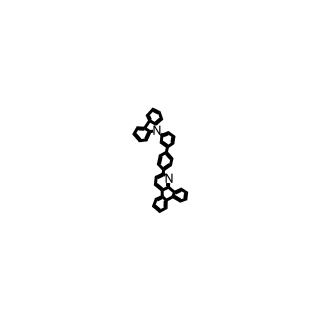 c1cc(-c2ccc(-c3ccc4c5ccccc5c5ccccc5c4n3)cc2)cc(-n2c3ccccc3c3ccccc32)c1